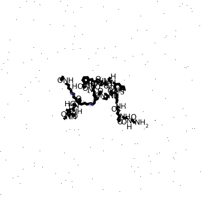 CNC(CC=O)C(=O)NC(Cc1cccc(C(=O)O)c1)C(=O)NC(C)(C)C(=O)NC(C)C(=O)NC(Cc1ccsc1)C(=O)NC(CCCCNC(=O)CCC(C=O)NC(=O)CNC(=O)CN)C(=O)NC1CCN(C(=O)OCCC/C=C/CCCC(C=O)(CCC/C=C/CCCCNC(C)=O)NC(O)[C@H](CC(C)(C)C)NC(=O)CNC(C)=O)C1